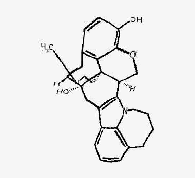 CN1CC[C@]23c4c5ccc(O)c4OC[C@H]2c2c(c4cccc6c4n2CCC6)C[C@@]3(O)[C@H]1C5